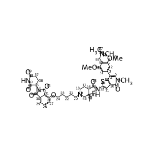 COc1cc(-c2cn(C)c(=O)c3cc(NC(=O)C4CCN(CCCCCOc5cccc6c5C(=O)N(C5CCC(=O)NC5=O)C6=O)CC4(F)F)sc23)cc(OC)c1CN(C)C